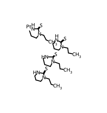 CCCN1CCCNC1=S.CCCN1CCCNC1=S.CCCN1CCCNC1=S.CCCN1CCCNC1=S.[Pt]